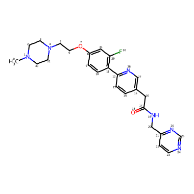 CN1CCN(CCOc2ccc(-c3ccc(CC(=O)NCc4ccncn4)cn3)c(F)c2)CC1